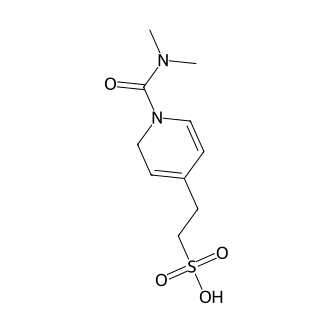 CN(C)C(=O)N1C=CC(CCS(=O)(=O)O)=CC1